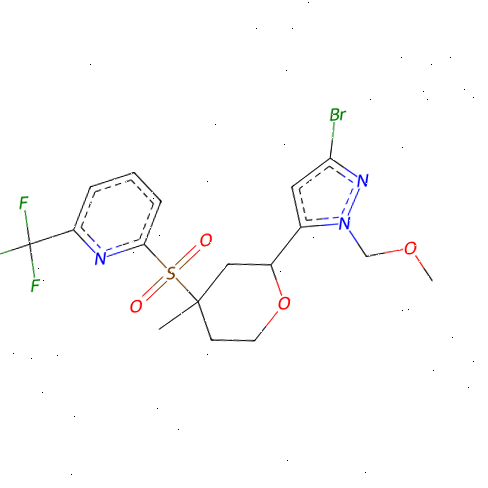 COCn1nc(Br)cc1C1CC(C)(S(=O)(=O)c2cccc(C(F)(F)F)n2)CCO1